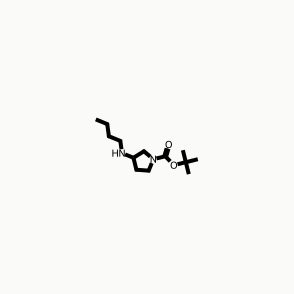 CCCCNC1CCN(C(=O)OC(C)(C)C)C1